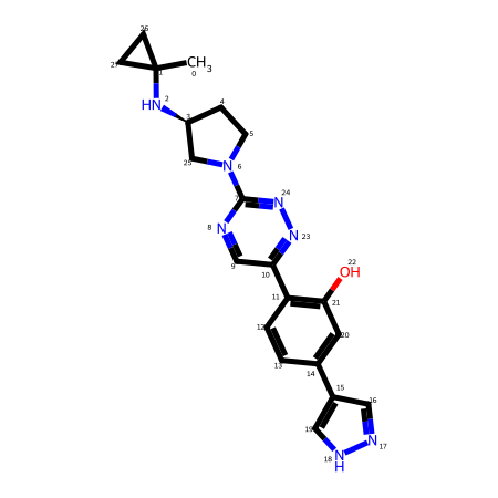 CC1(N[C@H]2CCN(c3ncc(-c4ccc(-c5cn[nH]c5)cc4O)nn3)C2)CC1